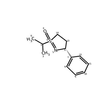 CC(C)S1(=O)=N[C@@H](c2ccccc2)CC1